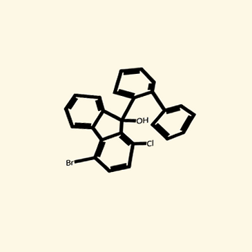 OC1(c2ccccc2-c2ccccc2)c2ccccc2-c2c(Br)ccc(Cl)c21